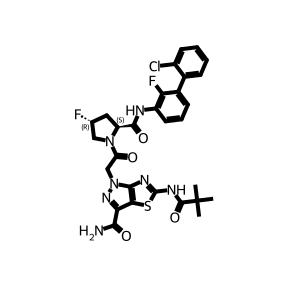 CC(C)(C)C(=O)Nc1nc2c(s1)c(C(N)=O)nn2CC(=O)N1C[C@H](F)C[C@H]1C(=O)Nc1cccc(-c2ccccc2Cl)c1F